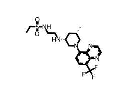 CCS(=O)(=O)NCCN[C@@H]1C[C@H](C)CN(c2ccc(C(F)(F)F)c3nccnc23)C1